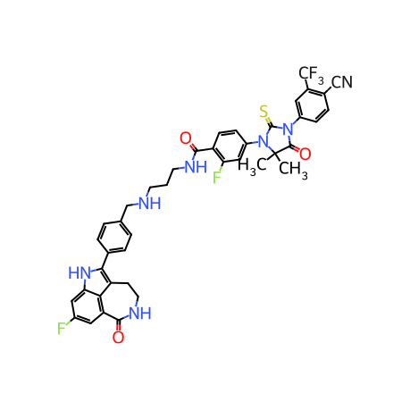 CC1(C)C(=O)N(c2ccc(C#N)c(C(F)(F)F)c2)C(=S)N1c1ccc(C(=O)NCCCNCc2ccc(-c3[nH]c4cc(F)cc5c4c3CCNC5=O)cc2)c(F)c1